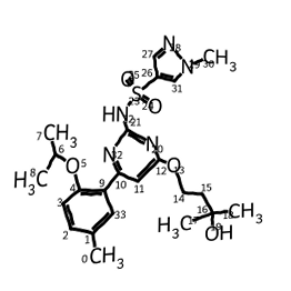 Cc1ccc(OC(C)C)c(-c2cc(OCCC(C)(C)O)nc(NS(=O)(=O)c3cnn(C)c3)n2)c1